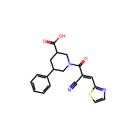 N#C/C(=C\c1nccs1)C(=O)N1CC(C(=O)O)CC(c2ccccc2)C1